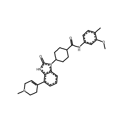 COc1cc(NC(=O)C2CCC(n3c(=O)[nH]c4c(C5=CCN(C)CC5)cccc43)CC2)ccc1C